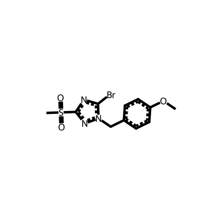 COc1ccc(Cn2nc(S(C)(=O)=O)nc2Br)cc1